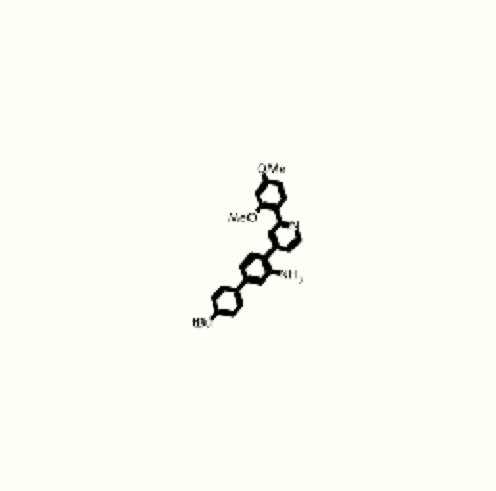 COc1ccc(-c2cc(-c3ccc(-c4ccc(C(C)(C)C)cc4)cc3N)ccn2)c(OC)c1